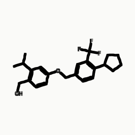 CC(C)c1cc(OCc2ccc(C3CCCC3)c(C(F)(F)F)c2)ccc1CO